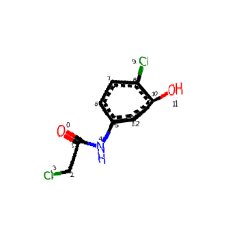 O=C(CCl)Nc1ccc(Cl)c(O)c1